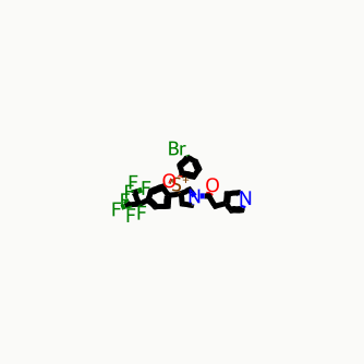 O=C(Cc1ccncc1)N1CCC(c2ccc(C(F)(C(F)(F)F)C(F)(F)F)cc2)([S+]([O-])c2cccc(Br)c2)C1